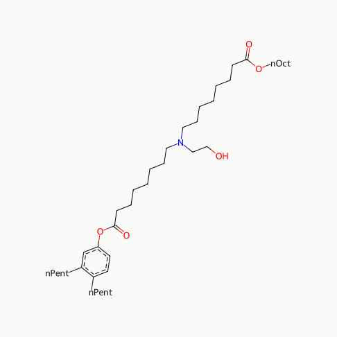 CCCCCCCCOC(=O)CCCCCCCN(CCO)CCCCCCCC(=O)Oc1ccc(CCCCC)c(CCCCC)c1